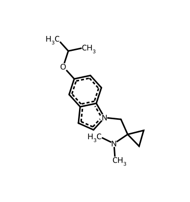 CC(C)Oc1ccc2c(ccn2CC2(N(C)C)CC2)c1